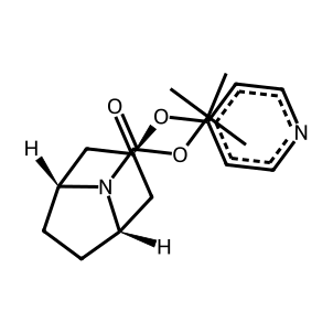 CC(C)(C)OC(=O)N1[C@@H]2CC[C@H]1C[C@H](Oc1ccncc1)C2